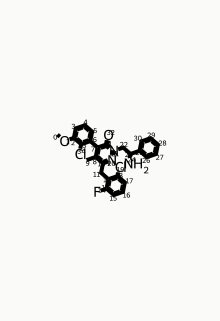 COc1cccc(-c2c(C)c(Cc3c(F)cccc3Cl)nn(CC(N)c3ccccc3)c2=O)c1Cl